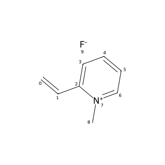 C=Cc1cccc[n+]1C.[F-]